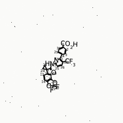 O=C(O)c1ccc(-c2nc(NC(=O)C3(c4ccc5c(c4)OC(F)(F)O5)CC3)ccc2C(F)(F)F)cc1